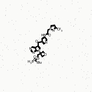 CC(C)(C)[Si](C)(C)OCC1(n2cc(C(=O)c3cncc(NC(=O)Cn4ccc(C(F)(F)F)n4)c3)c3cncnc32)COC1